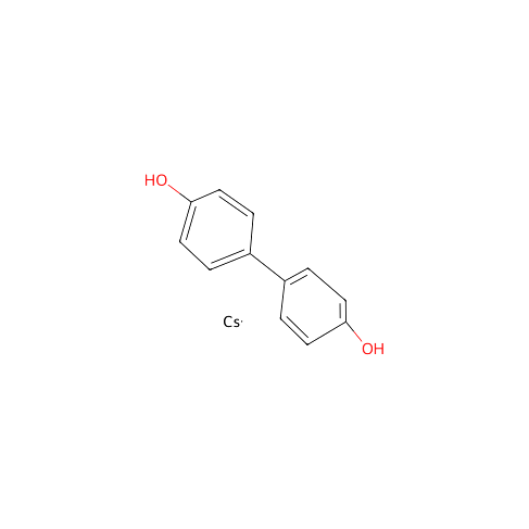 Oc1ccc(-c2ccc(O)cc2)cc1.[Cs]